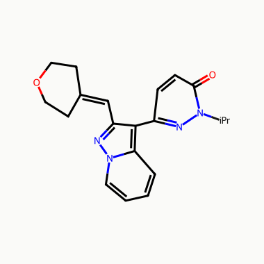 CC(C)n1nc(-c2c(C=C3CCOCC3)nn3ccccc23)ccc1=O